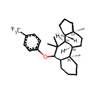 CC1(C)C(Oc2ccc(C(F)(F)F)cc2)C2CCCC[C@]2(C)[C@@H]2CC[C@]3(C)CCC[C@H]3[C@@H]21